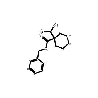 CC(O)C1(C(=O)OCc2ccccc2)CCCOC1